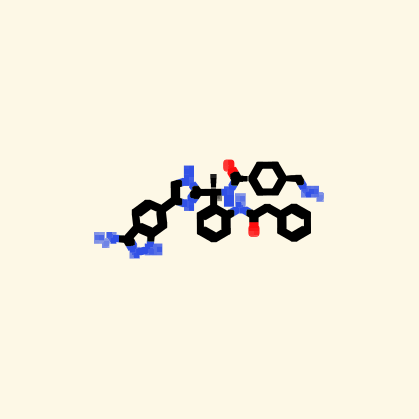 C[C@@](NC(=O)[C@H]1CC[C@H](CN)CC1)(c1nc(-c2ccc3c(N)n[nH]c3c2)c[nH]1)c1ccccc1NC(=O)Cc1ccccc1